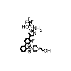 Nc1ncc(-c2ccc(-c3ccccc3S(=O)(=O)N3CCN(CCO)CC3)cc2F)cn1.O=C(O)C(F)(F)F